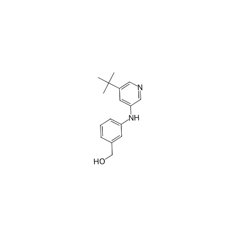 CC(C)(C)c1cncc(Nc2cccc(CO)c2)c1